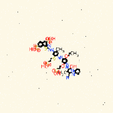 CCCOc1cc(N=Nc2c(C)c(C#N)c3nc4ccccc4n3c2O)c(OCCCS(=O)(=O)O)cc1N=Nc1cc(C)c(N=Nc2nc3c(S(=O)(=O)O)cc4ccc(S(=O)(=O)O)cc4c3s2)cc1SCCCS(=O)(=O)O